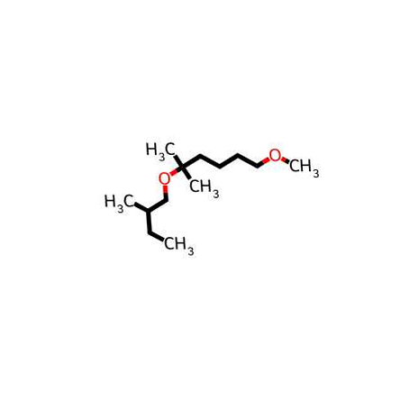 CCC(C)COC(C)(C)CCCCOC